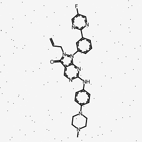 C=CCn1c(=O)c2cnc(Nc3ccc(N4CCN(C)CC4)cc3)nc2n1-c1cccc(-c2ncc(F)cn2)c1